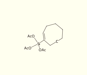 CC(=O)O[Si](OC(C)=O)(OC(C)=O)C1=CCCCCCC1